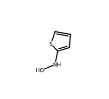 ONc1cccs1